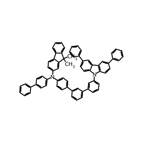 CC1(C)c2ccccc2-c2ccc(N(c3ccc(-c4ccccc4)cc3)c3ccc(-c4cccc(-c5cccc(-n6c7ccc(-c8ccccc8)cc7c7cc(-c8ccccc8)ccc76)c5)c4)cc3)cc21